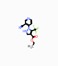 CCOC(=O)C1=C(C(F)(F)F)N(c2ccncc2C#N)NC1